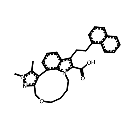 Cc1c2c(nn1C)COCCCCn1c(C(=O)O)c(CCc3cccc4ccccc34)c3cccc-2c31